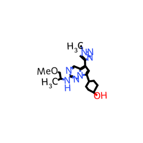 COCC(C)Nc1ncc2c(-c3cn(C)nn3)cc(C3CCC(O)CC3)n2n1